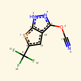 N#COc1n[nH]c2sc(C(F)(F)F)cc12